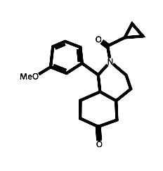 COc1cccc(C2C3CCC(=O)CC3CCN2C(=O)C2CC2)c1